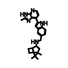 Cc1nc2c(-c3cc4cc(CNC5CC6(C)C(C)(C)C67CCC57)ccc4[nH]3)ccnc2[nH]1